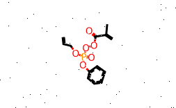 C=CCOP(=O)(OOC(=O)C(=C)C)Oc1ccccc1